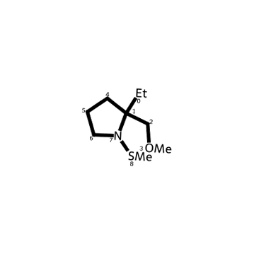 CCC1(COC)CCCN1SC